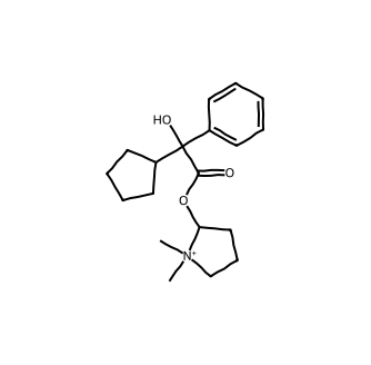 C[N+]1(C)CCCC1OC(=O)C(O)(c1ccccc1)C1CCCC1